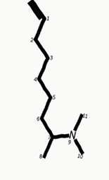 C=CCCCCCC(C)N(C)C